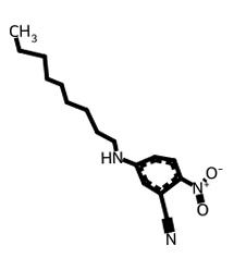 CCCCCCCCCNc1ccc([N+](=O)[O-])c(C#N)c1